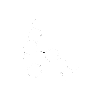 CCC(C)NC(Oc1ccc([C@@H]2c3ccc(OC)cc3OC(C)(C)[C@H]2c2ccccc2)cc1)[C@@H](C)O